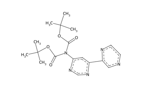 CC(C)(C)OC(=O)N(C(=O)OC(C)(C)C)c1cc(-c2cnccn2)ncn1